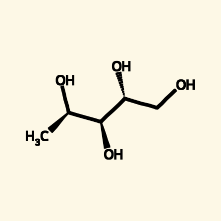 C[C@@H](O)[C@H](O)[C@H](O)CO